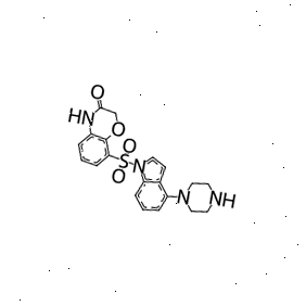 O=C1COc2c(cccc2S(=O)(=O)n2ccc3c(N4CCNCC4)cccc32)N1